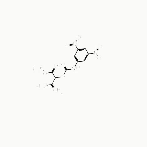 C=C(C)C(OC(=O)Nc1cc([N+](=O)[O-])cc([N+](=O)[O-])c1)C(=O)OC